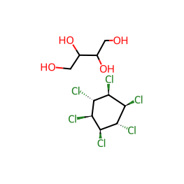 Cl[C@H]1[C@H](Cl)[C@@H](Cl)[C@@H](Cl)[C@H](Cl)[C@H]1Cl.OCC(O)C(O)CO